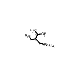 CC(=O)NCC(CN)C(N)O